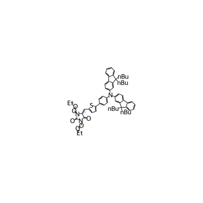 CCCCC1(CCCC)c2ccccc2-c2ccc(N(c3ccc(-c4ccc(/C=C5\C(=O)N(OOCC)C(=O)N5OOCC)s4)cc3)c3ccc4c(c3)C(CCCC)(CCCC)c3ccccc3-4)cc21